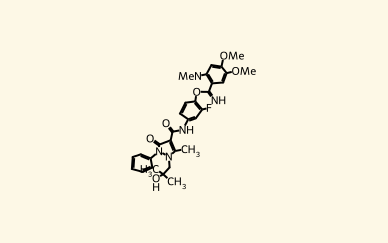 CNc1cc(OC)c(OC)cc1C(=N)Oc1ccc(NC(=O)c2c(C)n(CC(C)(C)O)n(-c3ccccc3)c2=O)cc1F